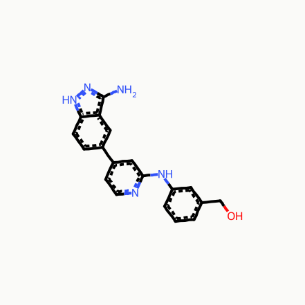 Nc1n[nH]c2ccc(-c3ccnc(Nc4cccc(CO)c4)c3)cc12